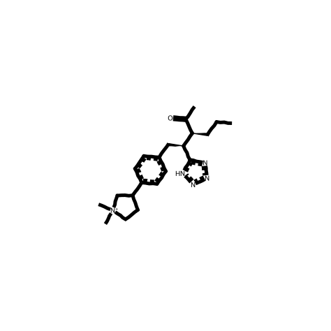 CCC[C@H](C(C)=O)[C@H](Cc1ccc(C2CC[N+](C)(C)C2)cc1)c1nnn[nH]1